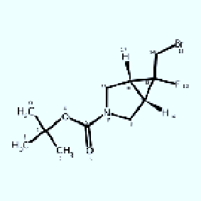 CC(C)(C)OC(=O)N1C[C@@H]2[C@H](C1)C2(F)CBr